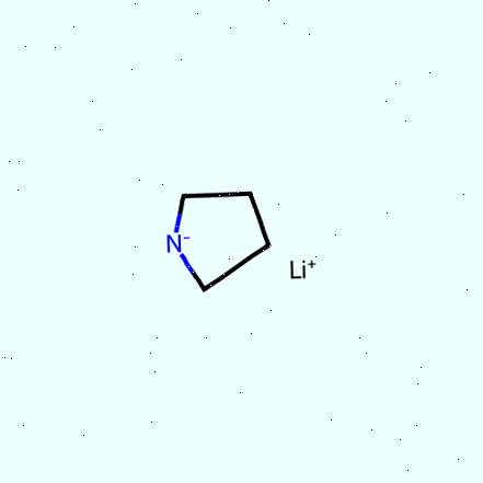 C1CC[N-]C1.[Li+]